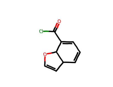 O=C(Cl)C1=CC=CC2C=COC12